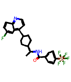 CC(NC(=O)c1ccc(S(F)(F)(F)(F)F)cc1)C1CCC(c2ccnc3ccc(F)cc23)CC1